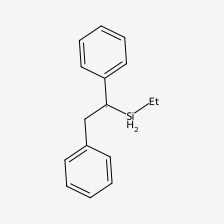 CC[SiH2][C](Cc1ccccc1)c1ccccc1